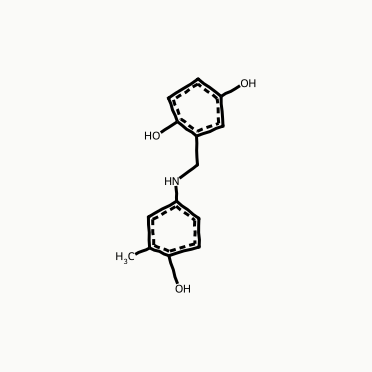 Cc1cc(NCc2cc(O)ccc2O)ccc1O